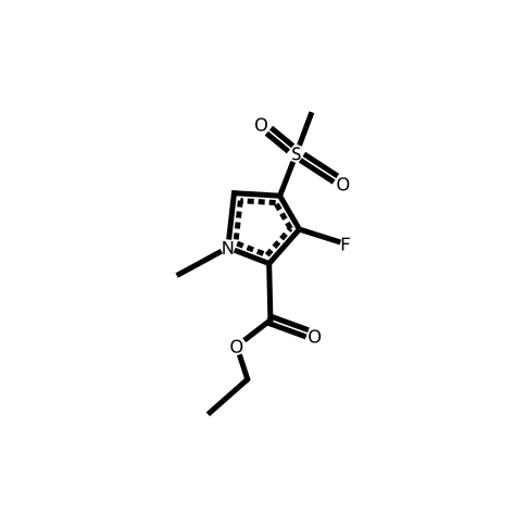 CCOC(=O)c1c(F)c(S(C)(=O)=O)cn1C